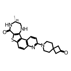 C[C@@H]1CNc2c(sc3ccc4nc(N5CCC6(CC5)CC(=O)C6)ccc4c23)C(=O)N1